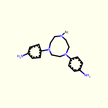 CC(=O)N1CCN(c2ccc(N)cc2)CCN(c2ccc(N)cc2)CC1